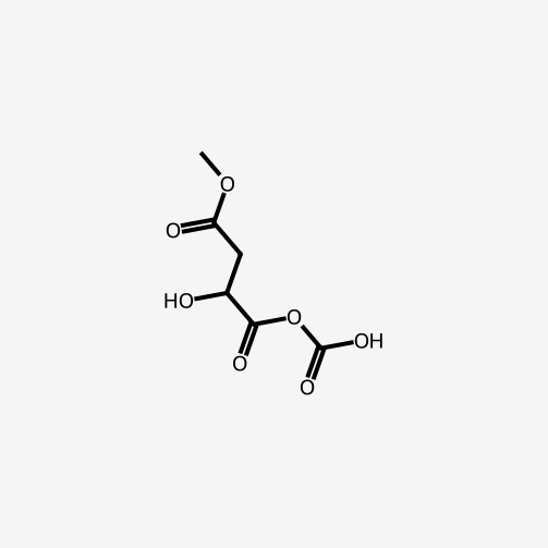 COC(=O)CC(O)C(=O)OC(=O)O